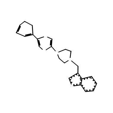 C1=CCCC(C2=COC(N3CCN(Cc4c[nH]c5ccccc45)CC3)=CO2)=C1